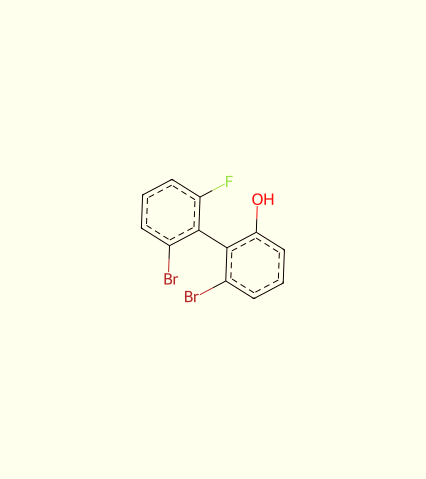 Oc1cccc(Br)c1-c1c(F)cccc1Br